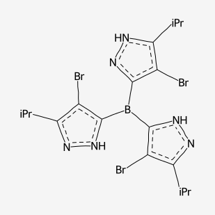 CC(C)c1n[nH]c(B(c2n[nH]c(C(C)C)c2Br)c2[nH]nc(C(C)C)c2Br)c1Br